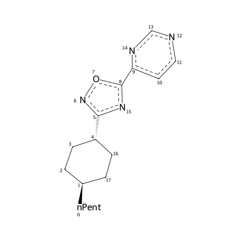 CCCCC[C@H]1CC[C@H](c2noc(-c3ccncn3)n2)CC1